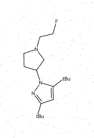 CC(C)(C)c1cc(C(C)(C)C)n(C2CCN(CCF)C2)n1